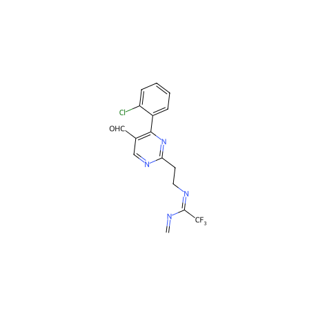 C=N/C(=N\CCc1ncc(C=O)c(-c2ccccc2Cl)n1)C(F)(F)F